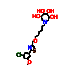 COc1cc(Cl)cc(-c2nc(COCCCCCCN3C[C@H](O)[C@@H](O)[C@H](O)[C@@H](O)C3)cs2)c1